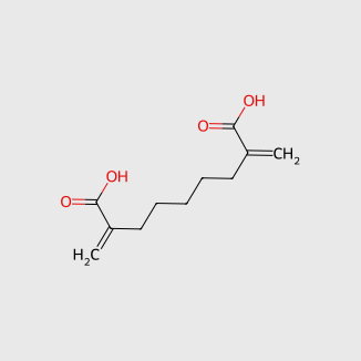 C=C(CCCCCC(=C)C(=O)O)C(=O)O